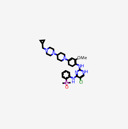 COC1=C(NC2N=C(Nc3ccccc3P(C)(C)=O)C(Cl)=CN2)CCC(N2CCC(N3CCN(CC4CC4)CC3)CC2)=C1